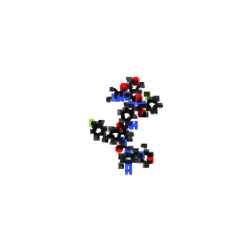 CNC(C)C(=O)NC(C(=O)N1Cc2ccc(NC(=O)[C@@]3(C)CN(C(=O)CN4C[C@@H](C)NC[C@@H]4CN4CCOC[C@H]4C)c4cc(Cc5ccc(F)cc5)ccc43)cc2[C@H]1C(=O)Nc1c(F)cccc1F)C1CCOCC1